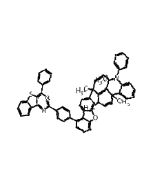 CC1C=CC2(C)C3=C1C(C)(c1ccc4c(c1)oc1cccc(-c5ccc(-c6nc(-c7ccccc7)c7sc8ccccc8c7n6)cc5)c14)C=CC3(C)N(c1ccccc1)c1ccccc12